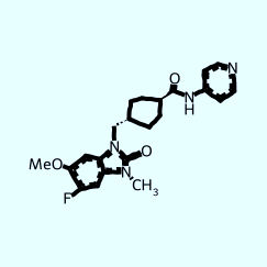 COc1cc2c(cc1F)n(C)c(=O)n2C[C@H]1CC[C@H](C(=O)Nc2ccncc2)CC1